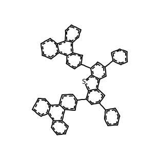 c1ccc(-c2cc(-c3ccc4c5ccccc5c5ccccc5c4c3)c3sc4c(-c5ccc6c7ccccc7c7ccccc7c6c5)cc(-c5ccccc5)cc4c3c2)cc1